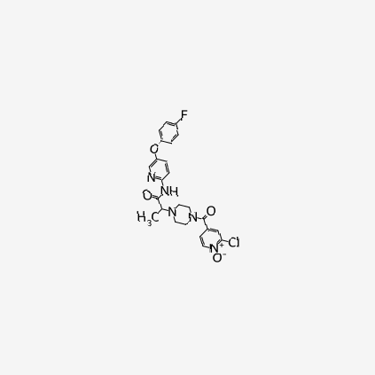 CC(C(=O)Nc1ccc(Oc2ccc(F)cc2)cn1)N1CCN(C(=O)c2cc[n+]([O-])c(Cl)c2)CC1